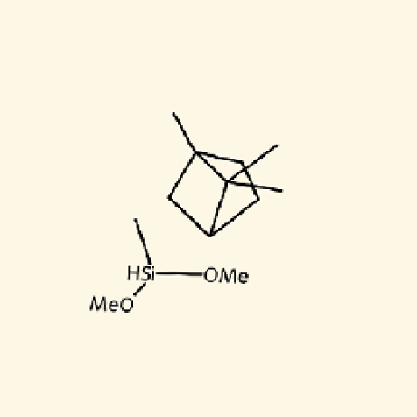 CC12CCC(C1)C2(C)C.CO[SiH](C)OC